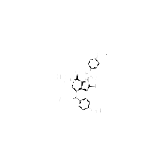 Cc1ccc(S(=O)(=O)n2c(I)cc3c(C(C)c4ccc(O)cc4)cn(C)c(=O)c32)cc1